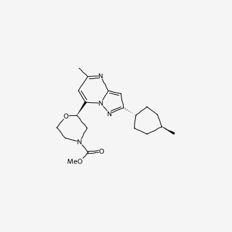 COC(=O)N1CCO[C@@H](c2cc(C)nc3cc([C@H]4CC[C@H](C)CC4)nn23)C1